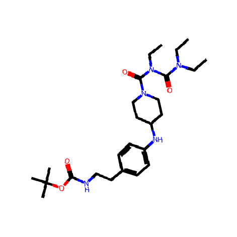 CCN(CC)C(=O)N(CC)C(=O)N1CCC(Nc2ccc(CCNC(=O)OC(C)(C)C)cc2)CC1